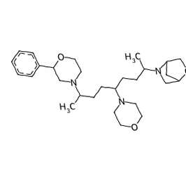 CC(CCC(CCC(C)N1CC2CC1CO2)N1CCOCC1)N1CCOC(c2ccccc2)C1